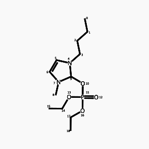 CCCCN1C=CN(C)C1OP(=O)(OCC)OCC